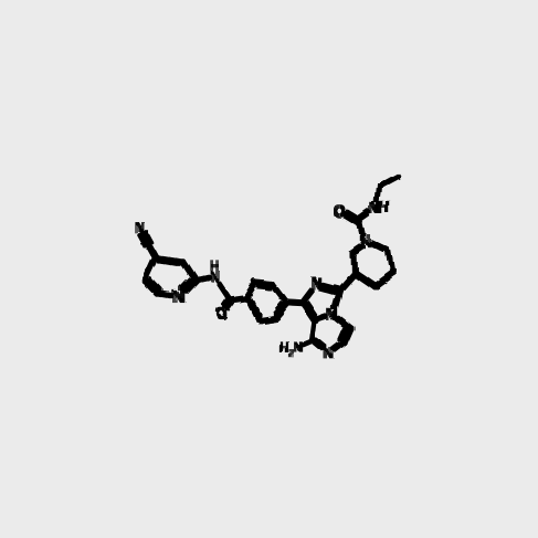 CCNC(=O)N1CCCC(c2nc(-c3ccc(C(=O)Nc4cc(C#N)ccn4)cc3)c3c(N)nccn23)C1